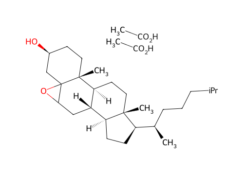 CC(=O)O.CC(=O)O.CC(C)CCC[C@@H](C)[C@H]1CC[C@H]2[C@@H]3CC4OC45C[C@@H](O)CC[C@]5(C)[C@H]3CC[C@]12C